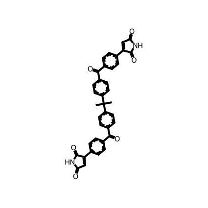 CC(C)(c1ccc(C(=O)c2ccc(C3=CC(=O)NC3=O)cc2)cc1)c1ccc(C(=O)c2ccc(C3=CC(=O)NC3=O)cc2)cc1